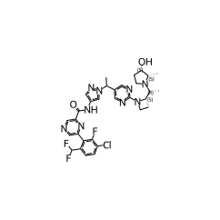 CC(c1cnc(N2CC[C@H]2[C@@H](C)N2CC[C@H](O)[C@@H]2C)nc1)n1cc(NC(=O)c2cncc(-c3c(C(F)F)ccc(Cl)c3F)n2)cn1